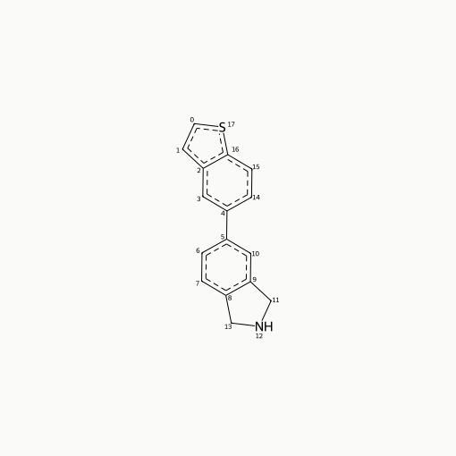 c1cc2cc(-c3ccc4c(c3)CNC4)ccc2s1